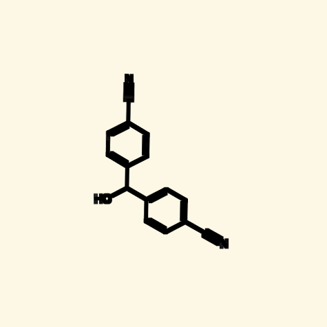 N#Cc1ccc(C(O)c2ccc(C#N)cc2)cc1